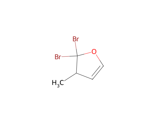 CC1C=COC1(Br)Br